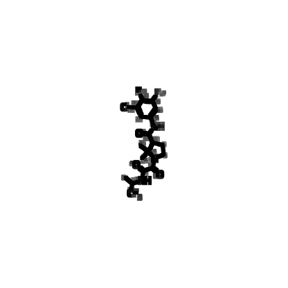 C[C@@H](NC(=O)C(=O)N1CCC(C(=O)Nc2cc(F)c(F)c(Cl)c2)C1(C)C)C(F)(F)F